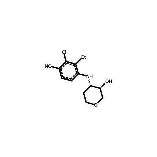 CCc1c(N[C@H]2CCOC[C@@H]2O)ccc(C#N)c1Cl